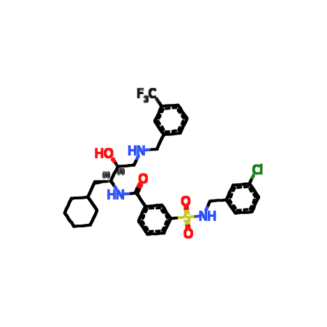 O=C(N[C@@H](CC1CCCCC1)[C@@H](O)CNCc1cccc(C(F)(F)F)c1)c1cccc(S(=O)(=O)NCc2cccc(Cl)c2)c1